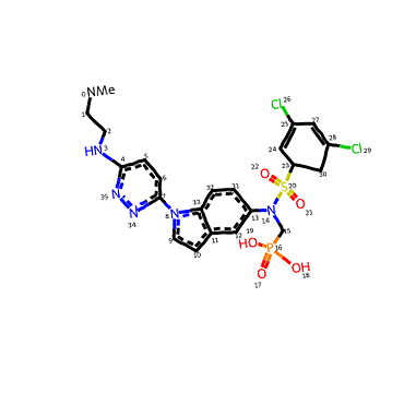 CNCCNc1ccc(-n2ccc3cc(N(CP(=O)(O)O)S(=O)(=O)C4C=C(Cl)C=C(Cl)C4)ccc32)nn1